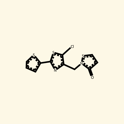 O=c1ccsn1Cc1nc(-c2cccs2)sc1Cl